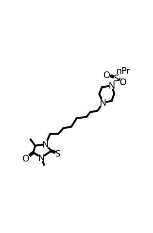 CCCS(=O)(=O)N1CCN(CCCCCCCCN2C(=S)N(C)C(=O)C2C)CC1